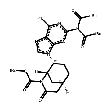 CC(C)(C)OC(=O)N1C(=O)C[C@@H]2CC[C@@H](n3cnc4c(Cl)nc(N(C(=O)C(C)(C)C)C(=O)C(C)(C)C)nc43)[C@@H]1C2